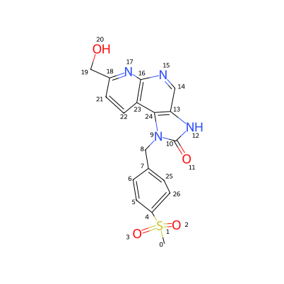 CS(=O)(=O)c1ccc(Cn2c(=O)[nH]c3cnc4nc(CO)ccc4c32)cc1